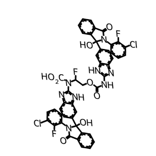 O=C(Nc1nc2ccc(C3(O)c4ccccc4C(=O)N3c3cccc(Cl)c3F)cc2[nH]1)OCC(F)N(C(=O)O)c1nc2ccc(C3(O)c4ccccc4C(=O)N3c3cccc(Cl)c3F)cc2[nH]1